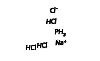 Cl.Cl.Cl.P.[Cl-].[Na+]